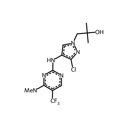 CNc1nc(Nc2cn(CC(C)(C)O)nc2Cl)ncc1C(F)(F)F